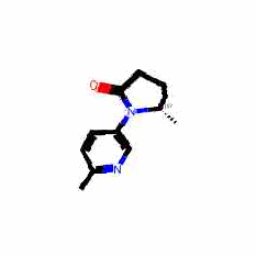 Cc1ccc(N2C(=O)CC[C@@H]2C)cn1